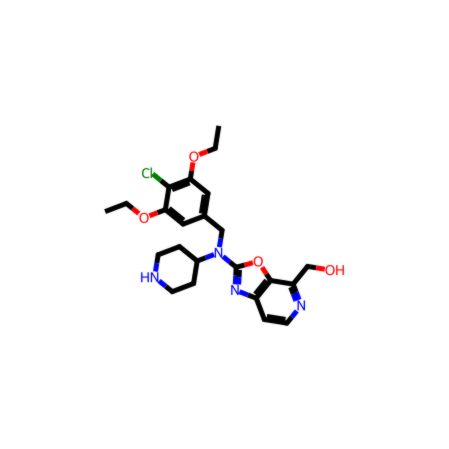 CCOc1cc(CN(c2nc3ccnc(CO)c3o2)C2CCNCC2)cc(OCC)c1Cl